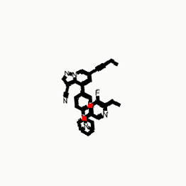 CCC#Cc1cc(-c2ccc(N3CC4CC(C3)N4Cc3cnc(CC)c(F)c3)nc2)c2c(C#N)cnn2c1